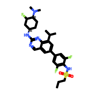 CCCS(=O)(=O)Nc1c(F)cc(-c2cc(C(C)C)c3nc(N[C@H]4CC[C@H](N(C)C)C(F)C4)ncc3c2)cc1F